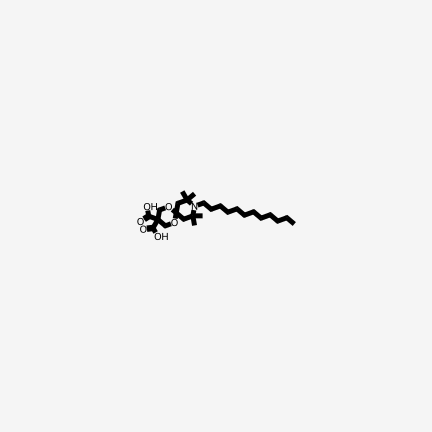 CCCCCCCCCCCCN1C(C)(C)CC2(CC1(C)C)OCC(C(=O)O)(C(=O)O)CO2